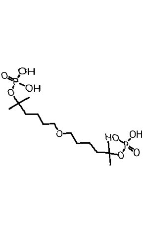 CC(C)(CCCCOCCCCC(C)(C)OP(=O)(O)O)OP(=O)(O)O